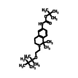 CC(C)(C)OC(=O)Nc1ccc2c(c1)CCN(CCO[Si](C)(C)C(C)(C)C)C2(C)C